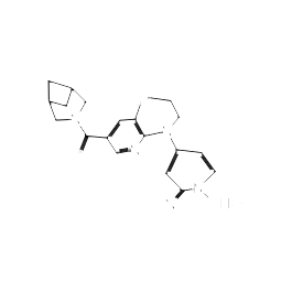 N=c1cc(N2CCOc3cc(C(=O)N4CC5CC(C5)C4)cnc32)ccn1C=O